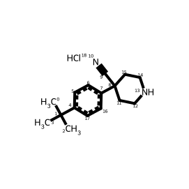 CC(C)(C)c1ccc(C2(C#N)CCNCC2)cc1.Cl